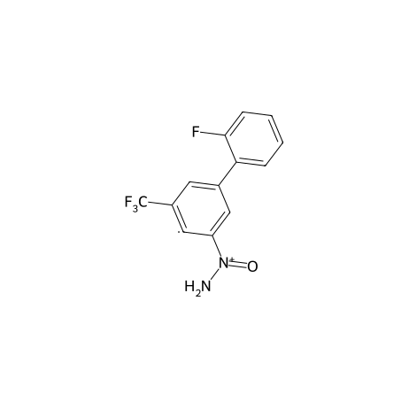 N[N+](=O)c1[c]c(C(F)(F)F)cc(-c2ccccc2F)c1